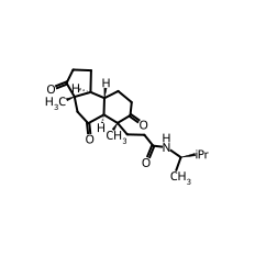 CC(C)[C@@H](C)NC(=O)CC[C@@]1(C)C(=O)CC[C@@H]2[C@@H]1C(=O)C[C@]1(C)C(=O)CC[C@@H]21